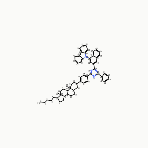 CC(C)CCCCC1CCC2C3CCC4CC(c5ccc(-c6nc(-c7ccccc7)nc(-c7cc(-n8c9ccccc9c9ccccc98)c8ccccc8c7)n6)cc5)CCC4(C)C3CCC12C